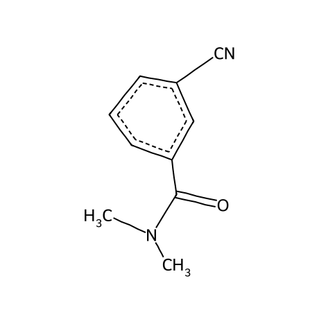 CN(C)C(=O)c1cccc(C#N)c1